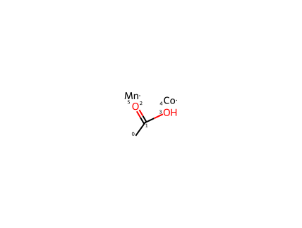 CC(=O)O.[Co].[Mn]